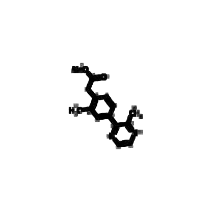 COC(=O)Cc1ccc(-c2nccnc2C)cc1C